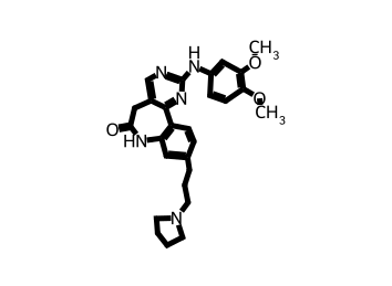 COc1ccc(Nc2ncc3c(n2)-c2ccc(CCCN4CCCC4)cc2NC(=O)C3)cc1OC